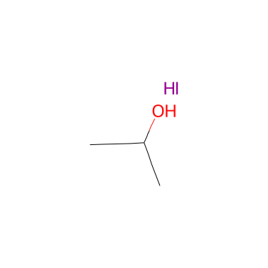 CC(C)O.I